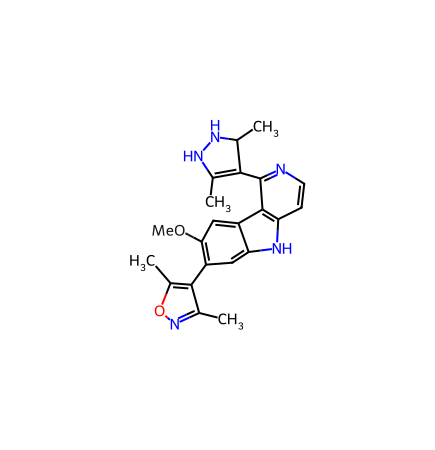 COc1cc2c(cc1-c1c(C)noc1C)[nH]c1ccnc(C3=C(C)NNC3C)c12